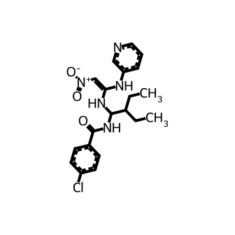 CCC(CC)C(NC(=O)c1ccc(Cl)cc1)NC(=C[N+](=O)[O-])Nc1cccnc1